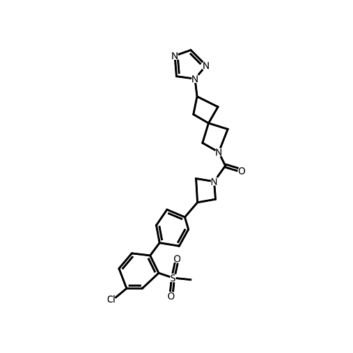 CS(=O)(=O)c1cc(Cl)ccc1-c1ccc(C2CN(C(=O)N3CC4(CC(n5cncn5)C4)C3)C2)cc1